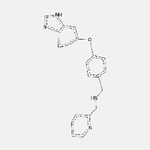 c1ccc(CNCc2ccc(Oc3ccc4nc[nH]c4c3)cc2)nc1